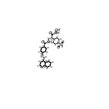 CS(=O)(=O)N1CCN([C@@H](CNC(=O)c2ccc(OCc3ccnc4ccccc34)cc2)C(=O)NO)CC1